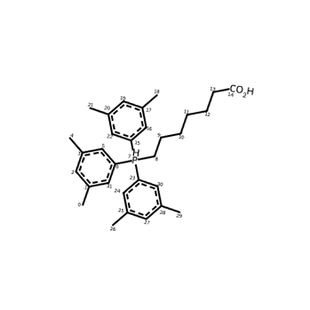 Cc1cc(C)cc([PH](CCCCCCC(=O)O)(c2cc(C)cc(C)c2)c2cc(C)cc(C)c2)c1